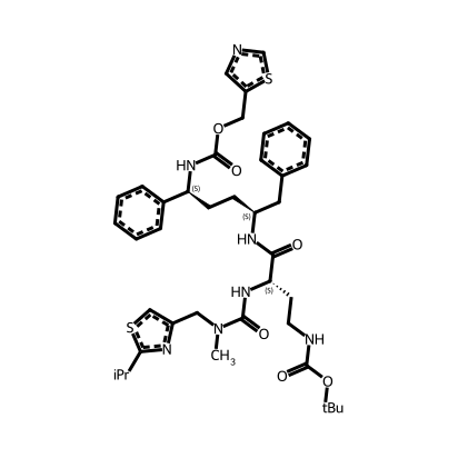 CC(C)c1nc(CN(C)C(=O)N[C@@H](CCNC(=O)OC(C)(C)C)C(=O)N[C@@H](CC[C@H](NC(=O)OCc2cncs2)c2ccccc2)Cc2ccccc2)cs1